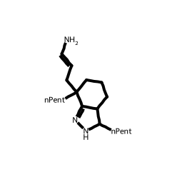 CCCCCC1NN=C2C1CCCC2(CC=CN)CCCCC